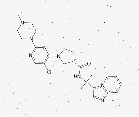 CN1CCN(c2ncc(Cl)c(N3CC[C@H](C(=O)NC(C)(C)c4cnc5ccccn45)C3)n2)CC1